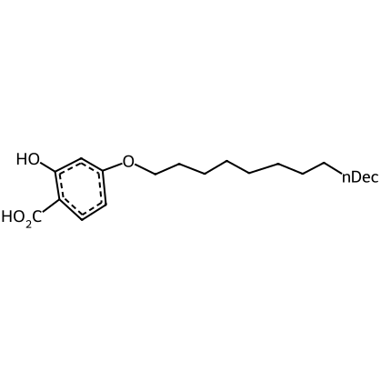 CCCCCCCCCCCCCCCCCCOc1ccc(C(=O)O)c(O)c1